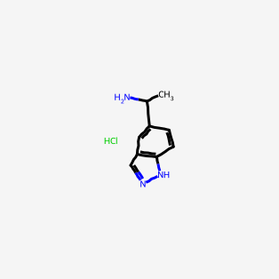 CC(N)c1ccc2[nH]ncc2c1.Cl